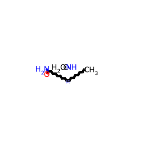 C=C=N.CCCCCCCC/C=C\CCCCCCCC(N)=O